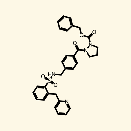 O=C(OCc1ccccc1)N1CCCN1C(=O)c1ccc(CNS(=O)(=O)c2ccccc2Cc2ccccn2)cc1